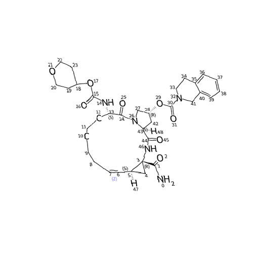 NC(=O)[C@@]12C[C@H]1/C=C\CCCCC[C@H](NC(=O)OC1CCOCC1)C(=O)N1C[C@H](OC(=O)N3CCc4ccccc4C3)C[C@H]1C(=O)N2